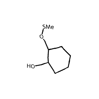 CSOC1CCCCC1O